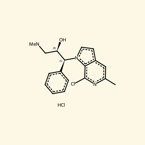 CNC[C@@H](O)[C@H](c1ccccc1)n1ccc2cc(C)nc(Cl)c21.Cl